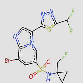 O=S(=O)(NC1(CF)CC1)c1cc(Br)c2ncc(-c3nnc(C(F)F)s3)n2c1